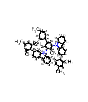 Cc1cc(C)c(-c2ccc3c4ccccc4n(-c4cc(-c5ccc(C(F)(F)F)cc5C#N)cc(-n5c6ccccc6c6ccc(-c7c(C)cc(C)cc7C)cc65)c4C#N)c3c2)c(C)c1